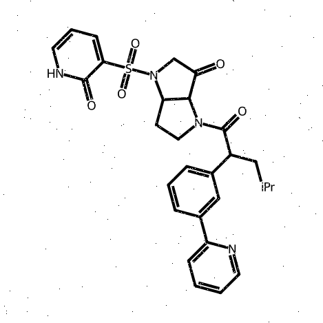 CC(C)CC(C(=O)N1CCC2C1C(=O)CN2S(=O)(=O)c1ccc[nH]c1=O)c1cccc(-c2ccccn2)c1